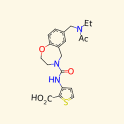 CCN(Cc1ccc2c(c1)CN(C(=O)Nc1ccsc1C(=O)O)CCO2)C(C)=O